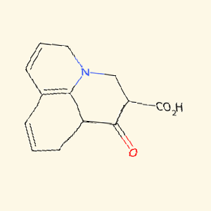 O=C(O)C1CN2CC=CC3=C2C(CC=C3)C1=O